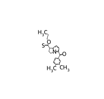 CCCOC(=S)C1CCn2c(C(=O)c3ccc(C)c(C)c3)ccc21